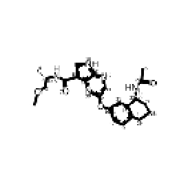 COC[C@H](C)NC(=O)c1c[nH]c2ncc(Oc3ccc4c(c3)[C@H](NC(C)=O)CCC4)nc12